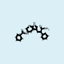 NC(=O)C(=Cc1c[nH]c2ncc(NC(=O)c3ccccc3)cc12)c1ccccc1